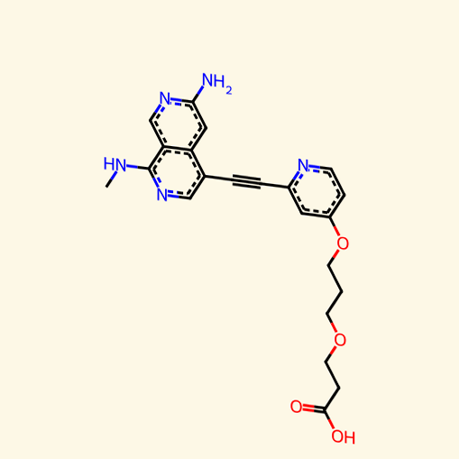 CNc1ncc(C#Cc2cc(OCCCOCCC(=O)O)ccn2)c2cc(N)ncc12